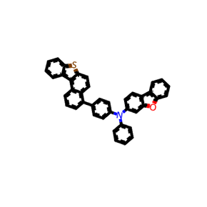 c1ccc(N(c2ccc(-c3cccc4c3ccc3sc5ccccc5c34)cc2)c2ccc3c(c2)oc2ccccc23)cc1